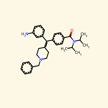 CC(C)N(C(=O)c1ccc(C(=C2CCN(Cc3ccccc3)CC2)c2cccc(N)c2)cc1)C(C)C